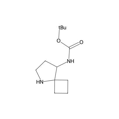 CC(C)(C)OC(=O)NC1CCNC12CCC2